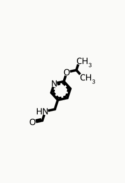 CC(C)Oc1ccc(CNC=O)cn1